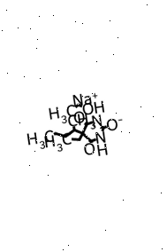 CCCC(C)C1(CC)C(=O)N=C([O-])NC1=O.CCO.[Na+]